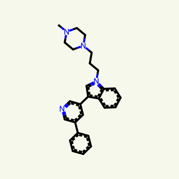 CN1CCN(CCCn2cc(-c3cncc(-c4ccccc4)c3)c3ccccc32)CC1